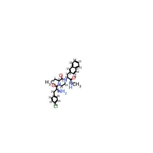 CCC1C(=O)N(C(Cc2ccc3ccccc3c2)C(=O)NC)CCN1C(=O)C(N)Cc1ccc(Cl)cc1